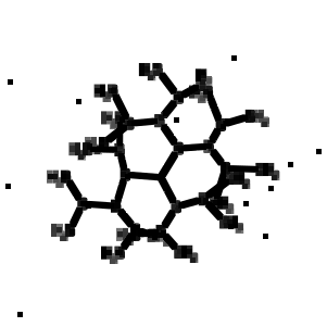 BB(B)B(B(B)B)B(B(B)B)C(B(B(B)B)B(B)B)B(B(B(B)B)B(B)B)B(B(B)B)B(B)B